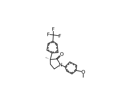 COc1ccc(N2CC[C@@](C)(c3ccc(C(F)(F)F)cc3)C2=O)cc1